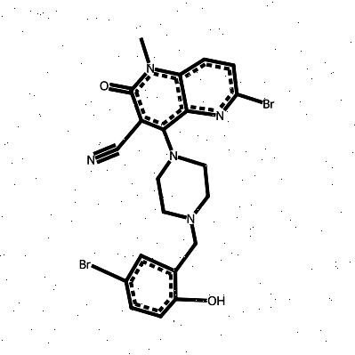 Cn1c(=O)c(C#N)c(N2CCN(Cc3cc(Br)ccc3O)CC2)c2nc(Br)ccc21